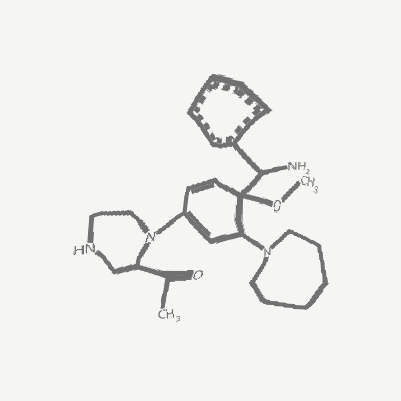 COC1(C(N)c2ccccc2)C=CC(N2CCNCC2C(C)=O)=CC1N1CCCCCC1